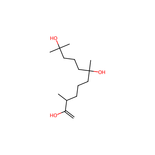 C=C(O)C(C)CCCC(C)(O)CCCC(C)(C)O